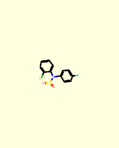 O=[SH](=O)N(c1ccc(F)cc1)c1c[c]ccc1Cl